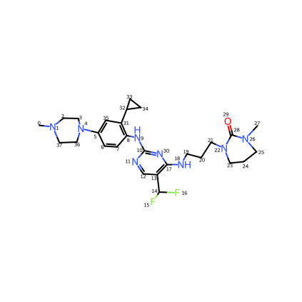 CN1CCN(c2ccc(Nc3ncc(C(F)F)c(NCCCN4CCCN(C)C4=O)n3)c(C3CC3)c2)CC1